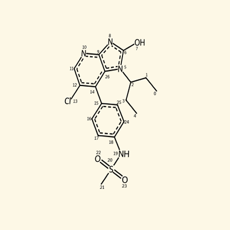 CCC(CC)n1c(O)nc2ncc(Cl)c(-c3ccc(NS(C)(=O)=O)cc3)c21